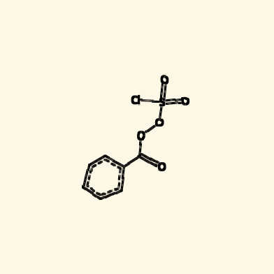 O=C(OOS(=O)(=O)Cl)c1ccccc1